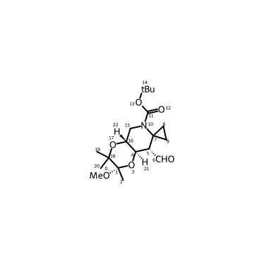 CO[C@@]1(C)O[C@@H]2[C@@H](C=O)C3(CC3)N(C(=O)OC(C)(C)C)C[C@H]2OC1(C)C